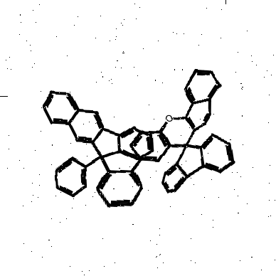 c1ccc(C2(c3ccccc3-c3ccc4c(c3)C3(c5ccccc5-c5ccccc53)c3ccc5ccccc5c3O4)c3ccccc3-c3cc4ccccc4cc32)cc1